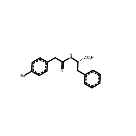 CC(C)(C)c1ccc(CC(=S)N[C@@H](Cc2ccccc2)C(=O)O)cc1